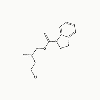 C=C(CCCl)COC(=O)N1CCc2ccccc21